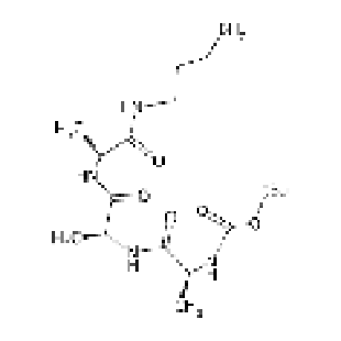 BCCCNC(=O)[C@H](C)NC(=O)[C@H](C)NC(=O)[C@H](C)NC(=O)OC(C)(C)C